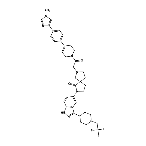 Cn1cnc(-c2ccc(C3=CCN(C(=O)CN4CCC5(CCN(c6ccc7[nH]nc(C8CCN(CC(F)(F)F)CC8)c7c6)C5=O)C4)CC3)cc2)n1